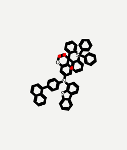 c1ccc([Si]2(c3ccccc3)c3ccccc3C3(c4ccccc4Oc4cc(N(c5ccc(-c6cccc7ccccc67)cc5)c5cccc6c5sc5ccccc56)ccc43)c3ccccc32)cc1